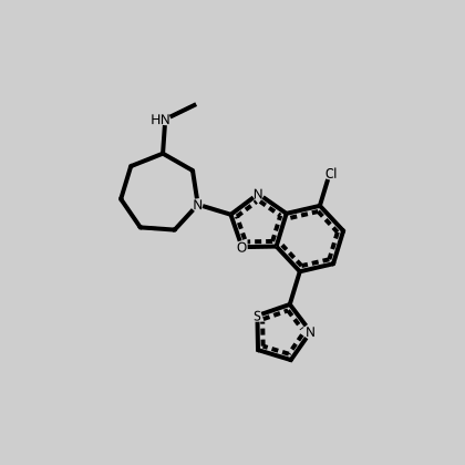 CNC1CCCCN(c2nc3c(Cl)ccc(-c4nccs4)c3o2)C1